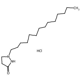 CCCCCCCCCCCCCCN1CCC(=O)N1.Cl